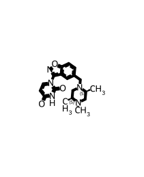 C[C@H]1CN(Cc2ccc3onc(-n4ccc(=O)[nH]c4=O)c3c2)[C@@H](C)CN1C